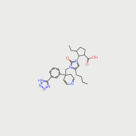 CCCCc1cn(C2C(CC)CCC2C(=O)O)c(=O)n1CC1(c2cccc(-c3nnn[nH]3)c2)C=CN=CC1